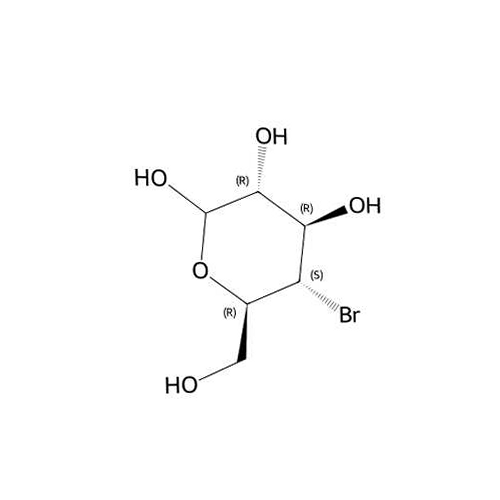 OC[C@H]1OC(O)[C@H](O)[C@@H](O)[C@@H]1Br